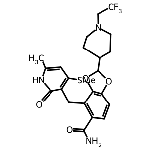 CSc1cc(C)[nH]c(=O)c1Cc1c(C(N)=O)ccc2c1OC(C1CCN(CC(F)(F)F)CC1)O2